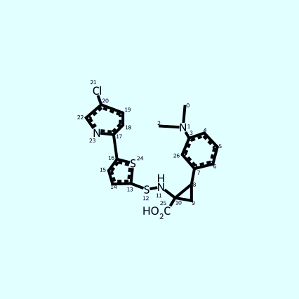 CN(C)c1cccc(C2CC2(NSc2ccc(-c3ccc(Cl)cn3)s2)C(=O)O)c1